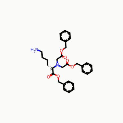 NCCCC[C@@H](C(=O)OCc1ccccc1)N(CC(=O)OCc1ccccc1)CC(=O)OCc1ccccc1